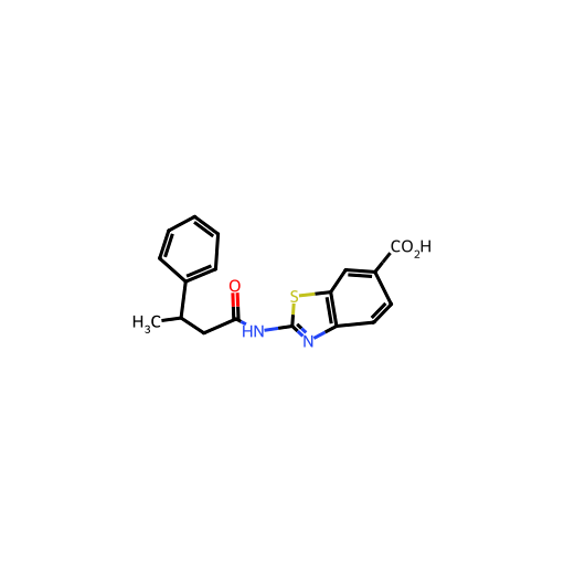 CC(CC(=O)Nc1nc2ccc(C(=O)O)cc2s1)c1ccccc1